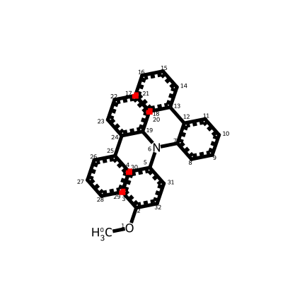 COc1ccc(N(c2ccccc2-c2ccccc2)c2ccccc2-c2ccccc2)cc1